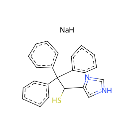 SC(c1c[nH]cn1)C(c1ccccc1)(c1ccccc1)c1ccccc1.[NaH]